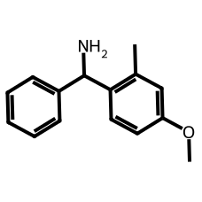 COc1ccc(C(N)c2ccccc2)c(C)c1